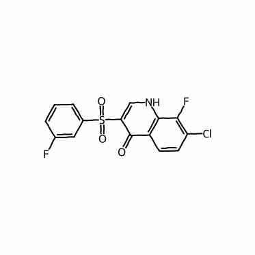 O=c1c(S(=O)(=O)c2cccc(F)c2)c[nH]c2c(F)c(Cl)ccc12